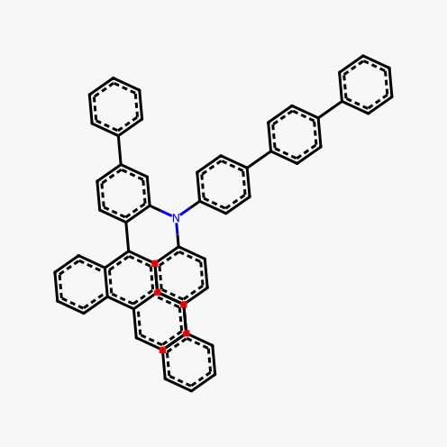 c1ccc(-c2ccc(-c3ccc(N(c4ccc(-c5ccccc5)cc4)c4cc(-c5ccccc5)ccc4-c4cc5ccccc5c5ccccc45)cc3)cc2)cc1